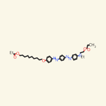 C=CC(=O)OCCN(CC)c1ccc(N=Nc2ccc(N=Nc3ccc(OCCCCCCCCCCOC(=O)CC)cc3)cc2)cc1